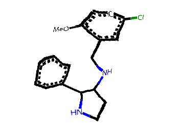 COc1ccc(Cl)cc1CNC1CCNC1c1ccccc1